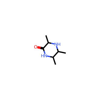 CC1NC(C)C(C)NC1=O